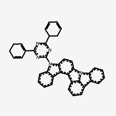 C1=CCC(c2nc(C3=CCCC=C3)nc(-n3c4ccccc4c4c5c6cccc7c8ccccc8n(c5ccc43)c76)n2)C=C1